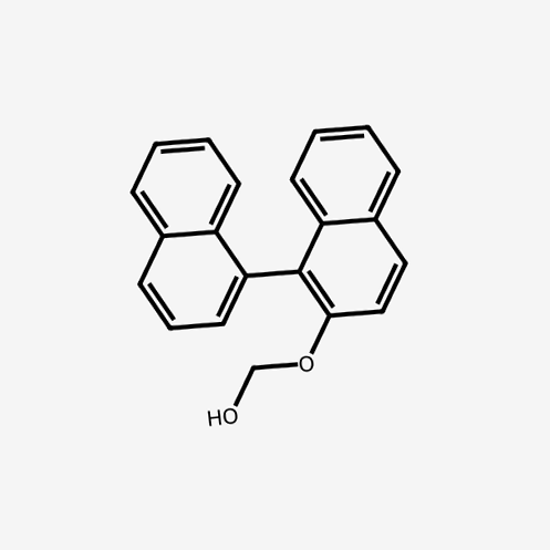 OCOc1ccc2ccccc2c1-c1cccc2ccccc12